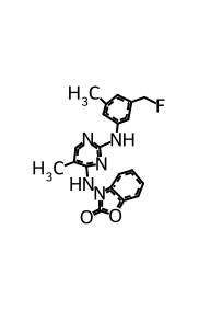 Cc1cc(CF)cc(Nc2ncc(C)c(Nn3c(=O)oc4ccccc43)n2)c1